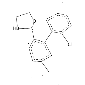 Cc1ccc(N2BCCO2)c(-c2ccccc2Cl)c1